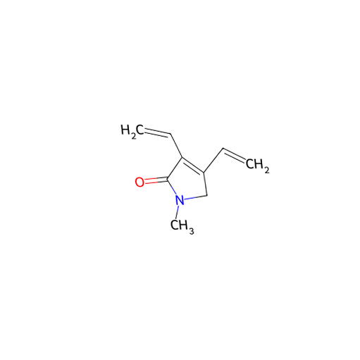 C=CC1=C(C=C)C(=O)N(C)C1